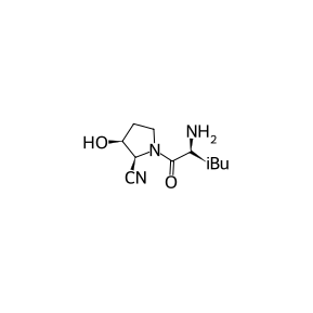 CC[C@H](C)[C@H](N)C(=O)N1CC[C@H](O)[C@@H]1C#N